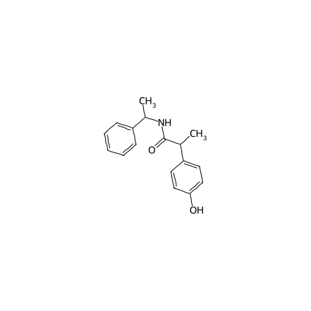 CC(NC(=O)C(C)c1ccc(O)cc1)c1ccccc1